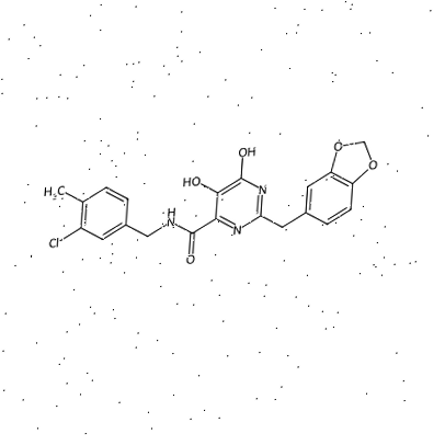 Cc1ccc(CNC(=O)c2nc(Cc3ccc4c(c3)OCO4)nc(O)c2O)cc1Cl